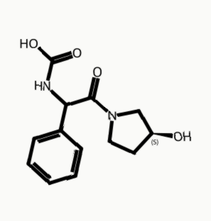 O=C(O)NC(C(=O)N1CC[C@H](O)C1)c1ccccc1